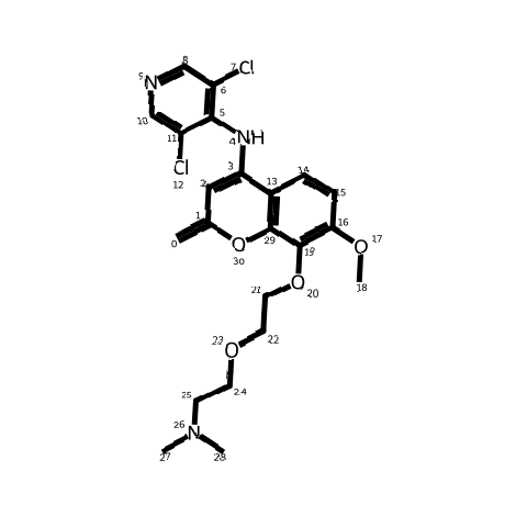 C=C1C=C(Nc2c(Cl)cncc2Cl)c2ccc(OC)c(OCCOCCN(C)C)c2O1